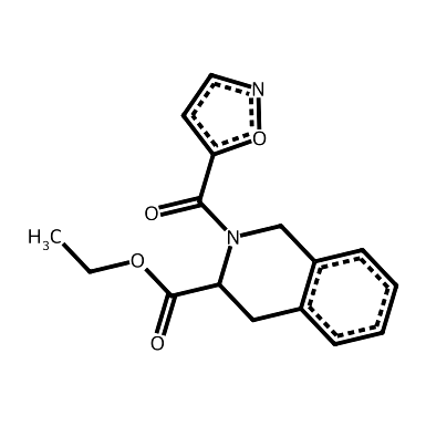 CCOC(=O)C1Cc2ccccc2CN1C(=O)c1ccno1